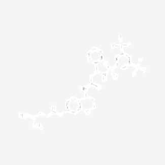 CC(C)CCNCc1ccc2c(c1)OCCC2NC(=O)CC(NS(=O)(=O)c1cc(C(F)(F)F)cc(C(F)(F)F)c1)c1ccccc1